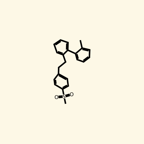 Cc1ccccc1-c1ccccc1CCc1ccc(S(C)(=O)=O)cc1